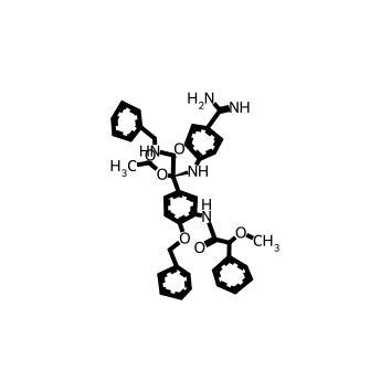 COC(C(=O)Nc1cc([C@](Nc2ccc(C(=N)N)cc2)(OC(C)=O)C(=O)NCc2ccccc2)ccc1OCc1ccccc1)c1ccccc1